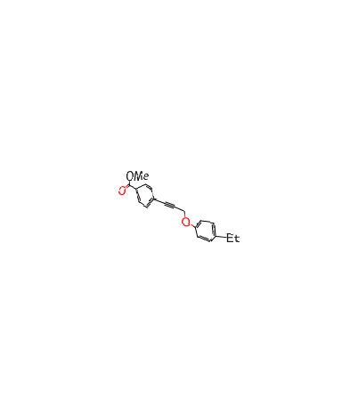 CCc1ccc(OCC#Cc2ccc(C(=O)OC)cc2)cc1